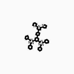 c1ccc(-c2nc(-c3ccccc3)nc(-c3cc(-c4ccc(-c5cc(-c6ccccn6)nc(-c6ccccn6)c5)cc4)cc(-c4nc(-c5ccccc5)nc(-c5ccccc5)n4)c3)n2)cc1